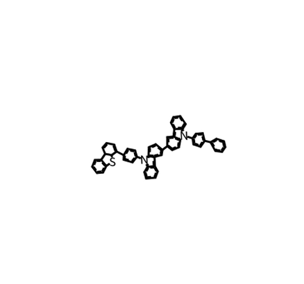 C1=CC2c3ccccc3SC2C(c2ccc(-n3c4ccccc4c4cc(-c5ccc6c(c5)c5ccccc5n6-c5ccc(-c6ccccc6)cc5)ccc43)cc2)=C1